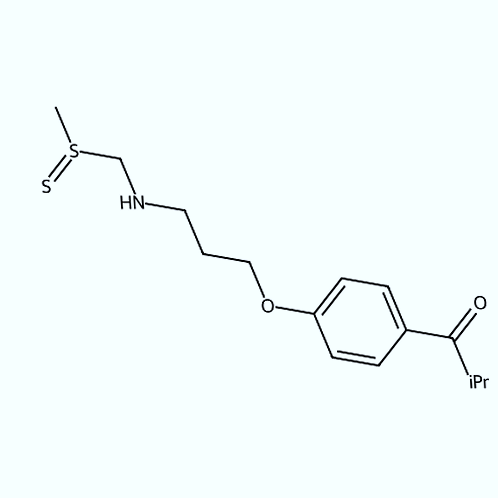 CC(C)C(=O)c1ccc(OCCCNCS(C)=S)cc1